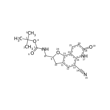 CC(C)(C)OC(=O)NCC1Cc2cc(C#N)c3[nH]c(=O)ccc3c2O1